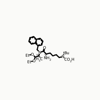 CCOC(OCC)[C@H](C)N(Cc1cccc2ccccc12)C(=O)[C@@H](N)CCCCN(C(=O)O)C(C)(C)C